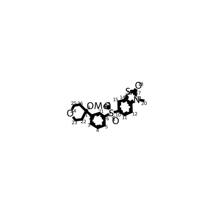 COC1(c2cccc(S(=O)(=O)c3ccc4c(c3)sc(=O)n4C)c2)CCOCC1